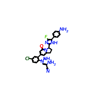 N#C/C(N)=C/N(N)c1ccc(Cl)cc1-c1cc2n(c(=O)c1)C(c1nc(F)c(-c3ccc(N)cc3)[nH]1)CC2